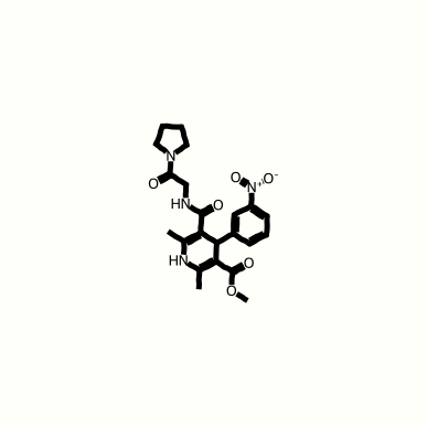 COC(=O)C1=C(C)NC(C)=C(C(=O)NCC(=O)N2CCCC2)C1c1cccc([N+](=O)[O-])c1